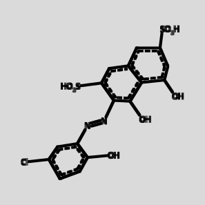 O=S(=O)(O)c1cc(O)c2c(O)c(/N=N/c3cc(Cl)ccc3O)c(S(=O)(=O)O)cc2c1